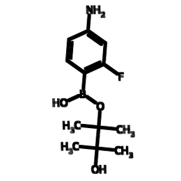 CC(C)(O)C(C)(C)OB(O)c1ccc(N)cc1F